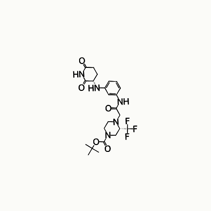 CC(C)(C)OC(=O)N1CCN(CC(=O)Nc2cccc(N[C@H]3CCC(=O)NC3=O)c2)[C@H](C(F)(F)F)C1